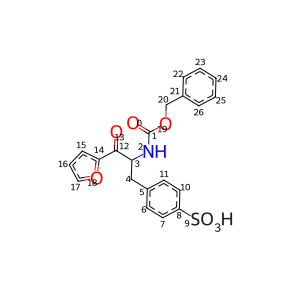 O=C(NC(Cc1ccc(S(=O)(=O)O)cc1)C(=O)c1ccco1)OCc1ccccc1